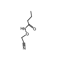 CCCC(=O)NOCC#N